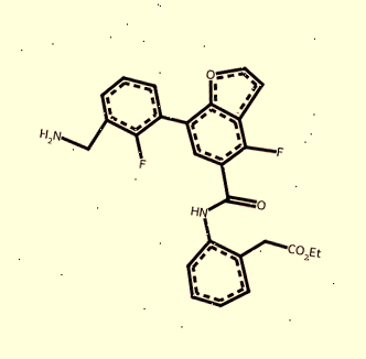 CCOC(=O)Cc1ccccc1NC(=O)c1cc(-c2cccc(CN)c2F)c2occc2c1F